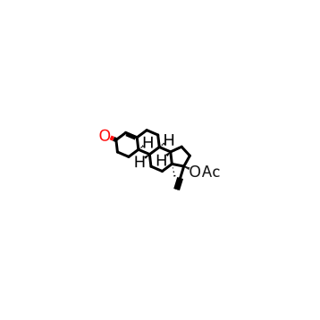 C#C[C@@]1(OC(C)=O)CC[C@H]2[C@@H]3CCC4=CC(=O)CC[C@@H]4[C@H]3CC[C@@]21C